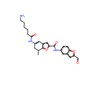 CC1CC(NC(=O)CCCCCN)=Cc2cc(C(=O)Nc3ccc4oc(C=O)cc4c3)oc21